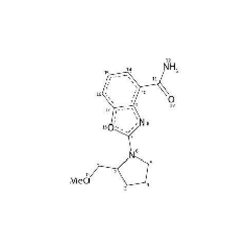 COCC1CCCN1c1nc2c(C(N)=O)[c]ccc2o1